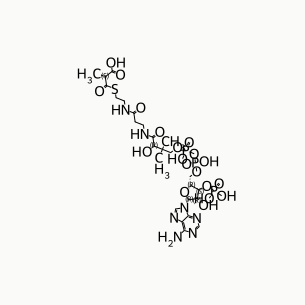 C[C@@H](C(=O)O)C(=O)SCCNC(=O)CCNC(=O)[C@H](O)C(C)(C)COP(=O)(O)OP(=O)(O)OC[C@H]1O[C@@H](n2cnc3c(N)ncnc32)[C@H](O)[C@@H]1OP(=O)(O)O